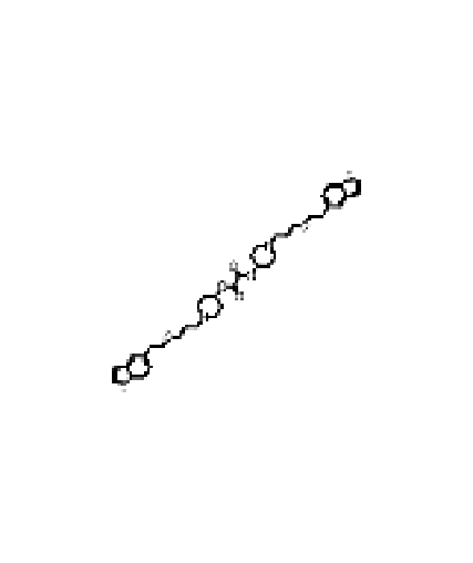 O=C(OC1CCN(CCCOCCc2ccc3sccc3c2)CC1)C(=O)OC1CCN(CCCOCCc2ccc3sccc3c2)CC1